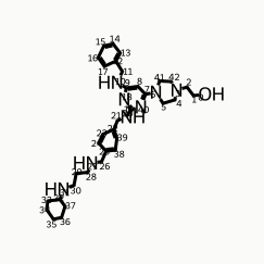 OCCN1CCN(c2cc(NCc3ccccc3)nc(NCc3ccc(CNCCCNC4CCCCC4)cc3)n2)CC1